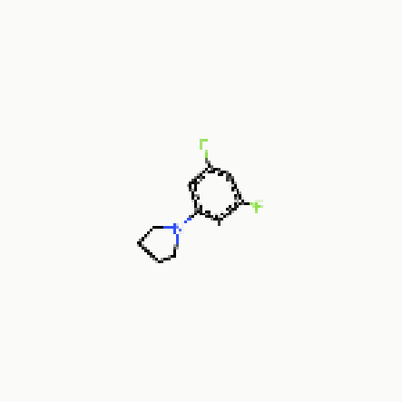 Fc1[c]c(N2CCCC2)cc(F)c1